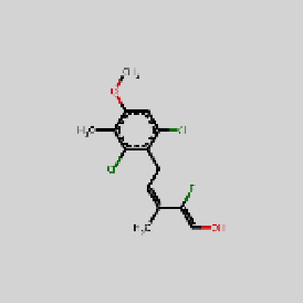 COc1cc(Cl)c(CC=C(C)C(F)=CO)c(Cl)c1C